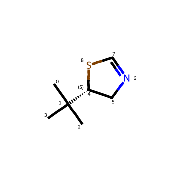 CC(C)(C)[C@H]1CN=CS1